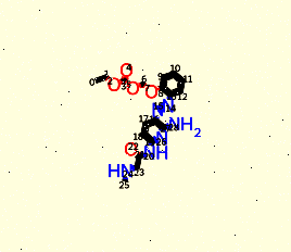 CCOC(=O)OCOc1ccccc1/N=N/c1ccc(NC(=O)CNC)nc1N